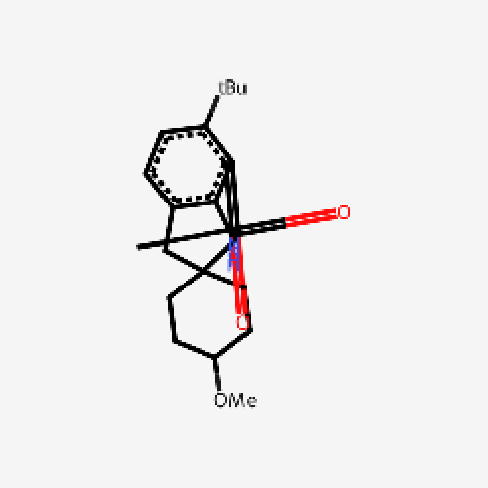 COC1CCC2(CC1)Cc1ccc(C(C)(C)C)cc1C21NC(=O)NC1=O